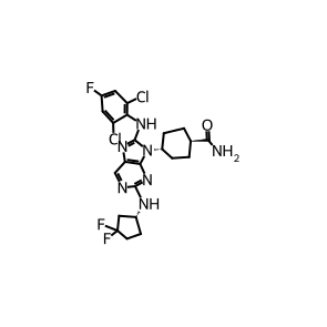 NC(=O)[C@H]1CC[C@H](n2c(Nc3c(Cl)cc(F)cc3Cl)nc3cnc(N[C@@H]4CCC(F)(F)C4)nc32)CC1